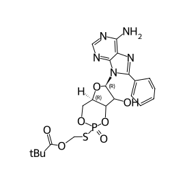 CC(C)(C)C(=O)OCSP1(=O)OC[C@H]2O[C@@H](n3c(-c4ccccc4)nc4c(N)ncnc43)C(O)C2O1